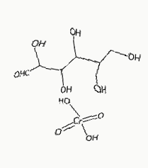 O=CC(O)C(O)C(O)C(O)CO.[O]=[Cr](=[O])([OH])[OH]